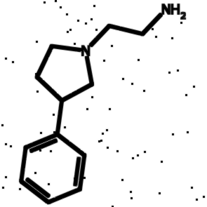 NCCN1CCC(c2ccccc2)C1